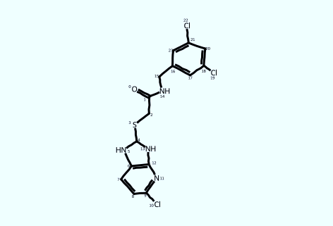 O=C(CSC1Nc2ccc(Cl)nc2N1)NCc1cc(Cl)cc(Cl)c1